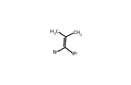 CC(C)=C(Br)C(C)C